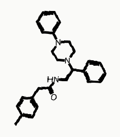 Cc1ccc(CC(=O)NCC(c2ccccc2)N2CCN(c3ccccc3)CC2)cc1